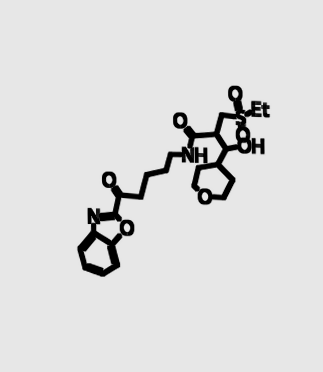 CCS(=O)(=O)CC(C(=O)NCCCCC(=O)c1nc2ccccc2o1)C(O)C1CCOCC1